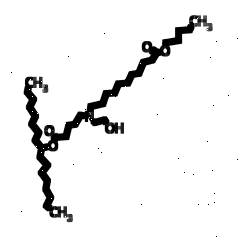 CCCCCCCCC(CCCCCCCC)OC(=O)CCCCN(CCO)CCCCCCCCCCC(=O)OCCCCC